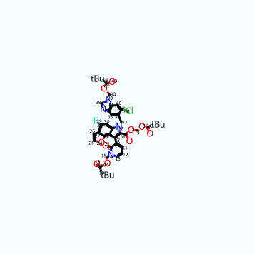 CC(C)(C)C(=O)OCOC(=O)c1c(-c2cccn(COC(=O)C(C)(C)C)c2=O)c2c3occc3c(F)cc2n1Cc1cc2ncn(COC(=O)C(C)(C)C)c2cc1Cl